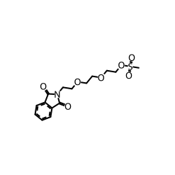 CS(=O)(=O)OCCOCCOCCN1C(=O)c2ccccc2C1=O